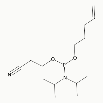 C=CCCCOP(OCCC#N)N(C(C)C)C(C)C